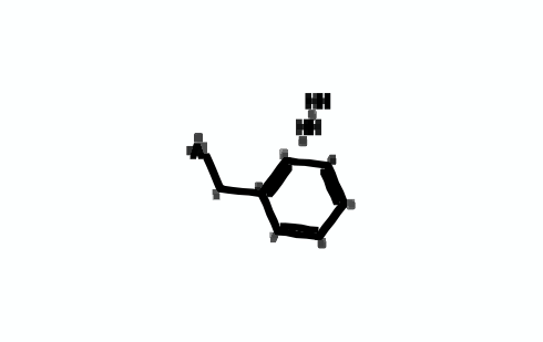 [Al][CH2]c1ccccc1.[HH].[HH]